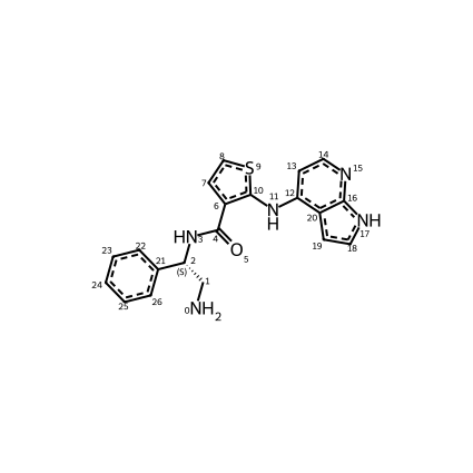 NC[C@@H](NC(=O)c1ccsc1Nc1ccnc2[nH]ccc12)c1ccccc1